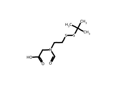 CC(C)(C)SSCCN(C=O)CC(=O)O